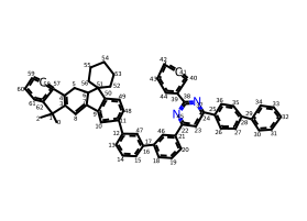 CC1(C)C2=C(CC3C(=C2)c2cc(-c4cccc(-c5cccc(-c6cc(-c7ccc(-c8ccccc8)cc7)nc(-c7ccccc7)n6)c5)c4)ccc2C32CCCCC2)c2ccccc21